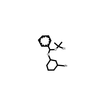 CCC(C)(C)OC(OC1CCCC(C(C)C)C1)c1ccccc1